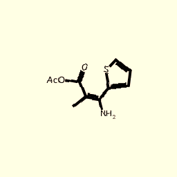 CC(=O)OC(=O)C(C)=C(N)c1cccs1